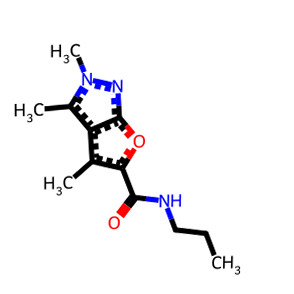 CCCNC(=O)c1oc2nn(C)c(C)c2c1C